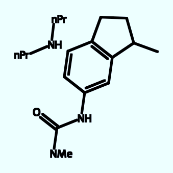 CCCNCCC.CNC(=O)Nc1ccc2c(c1)C(C)CC2